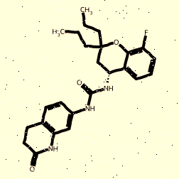 CCCC1(CCC)C[C@@H](NC(=O)Nc2ccc3c(c2)NC(=O)CC3)c2cccc(F)c2O1